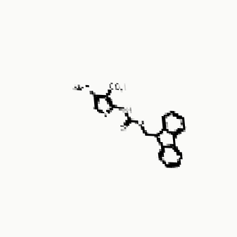 COc1csc(NC(=O)OCC2c3ccccc3-c3ccccc32)c1C(=O)O